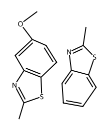 COc1ccc2sc(C)nc2c1.Cc1nc2ccccc2s1